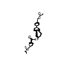 C=CC(=O)OCc1ccc(-c2ccc3cc(OC(=O)c4ccc(CCOC(=O)C(=C)C)cc4)ccc3c2)cc1